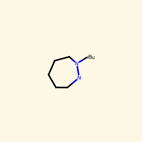 CCC(C)N1CCCCC[N]1